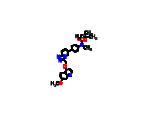 COc1ccc2c(OCc3nnc4ccc(-c5ccc(N(C)C(=O)OC(C)(C)C)cc5)cn34)ccnc2c1